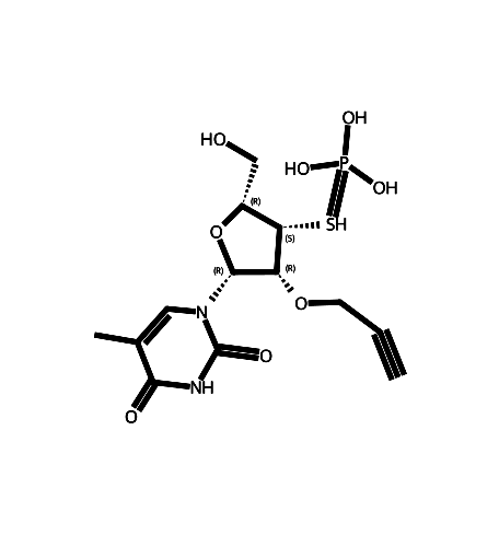 C#CCO[C@H]1[C@@H]([SH]=P(O)(O)O)[C@@H](CO)O[C@H]1n1cc(C)c(=O)[nH]c1=O